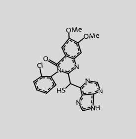 COc1cc2nc(C(S)c3ncnc4[nH]cnc34)n(-c3ccccc3Cl)c(=O)c2cc1OC